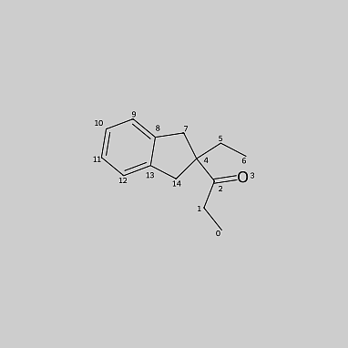 CCC(=O)C1(CC)Cc2ccccc2C1